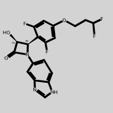 O=C1[C@@H](O)[C@@H](c2c(F)cc(OCCC(F)F)cc2F)N1c1ccc2[nH]cnc2c1